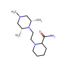 C[C@@H]1CN(C)C[C@H](C)N1CCN1CCCCC1C(N)=O